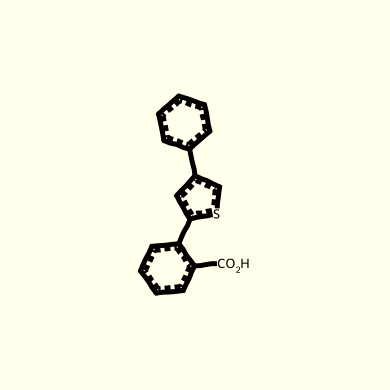 O=C(O)c1ccccc1-c1cc(-c2ccccc2)cs1